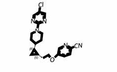 N#Cc1ccc(OCC[C@@H]2C[C@@H]2C2CCN(c3ncc(Cl)cn3)CC2)cn1